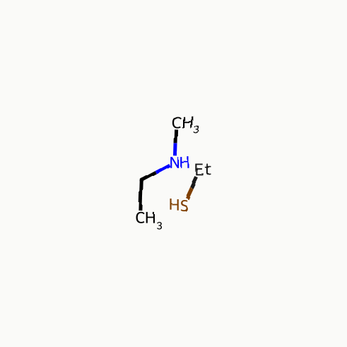 CCNC.CCS